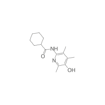 Cc1nc(NC(=O)C2CCCCC2)c(C)c(C)c1O